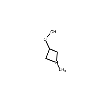 CN1CC(OO)C1